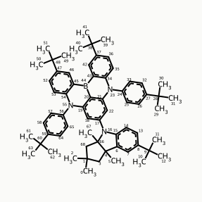 CC1(C)CC2(C)c3cc(C(C)(C)C)ccc3N(c3cc4c5c(c3)N(c3ccc(C(C)(C)C)cc3)c3ccc(C(C)(C)C)cc3B5c3cc(C(C)(C)C)ccc3N4c3ccc(C(C)(C)C)cc3)C2(C)C1